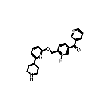 O=C(c1cccnc1)c1ccc(COc2cccc(C3CCNCC3)n2)c(F)c1